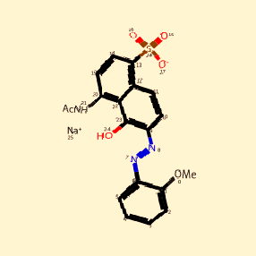 COc1ccccc1N=Nc1ccc2c(S(=O)(=O)[O-])ccc(NC(C)=O)c2c1O.[Na+]